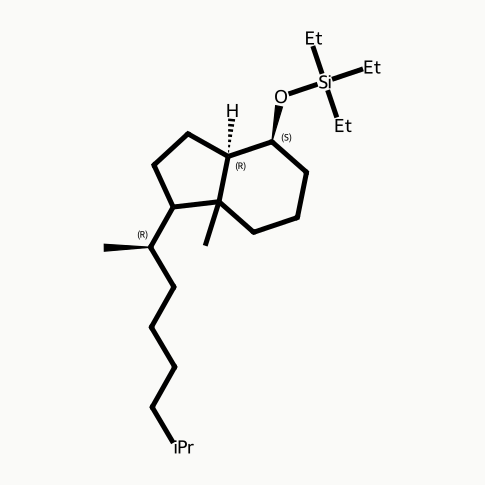 CC[Si](CC)(CC)O[C@H]1CCCC2(C)C([C@H](C)CCCCC(C)C)CC[C@@H]12